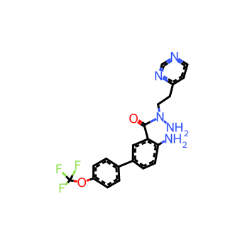 Nc1ccc(-c2ccc(OC(F)(F)F)cc2)cc1C(=O)N(N)CCc1ccncn1